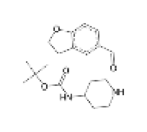 CC(C)(C)OC(=O)NC1CCNCC1.O=Cc1ccc2c(c1)CCO2